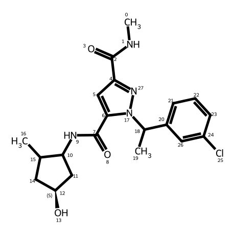 CNC(=O)c1cc(C(=O)NC2C[C@@H](O)CC2C)n(C(C)c2cccc(Cl)c2)n1